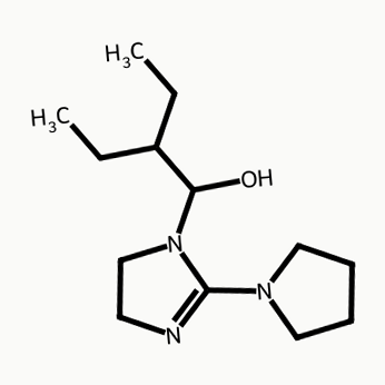 CCC(CC)C(O)N1CCN=C1N1CCCC1